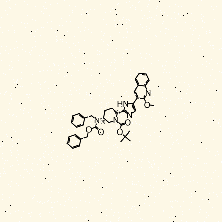 COc1nc2ccccc2cc1-c1cnc([C@@H]2CC[C@@H](N(Cc3ccccc3)C(=O)OCc3ccccc3)CN2C(=O)OC(C)(C)C)[nH]1